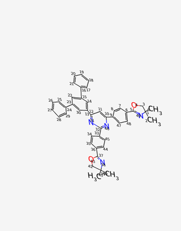 CC1(C)COC(c2ccc(-c3cc(-c4cc(-c5ccccc5)cc(-c5ccccc5)c4)nc(-c4ccc(C5=NC(C)(C)CO5)cc4)n3)cc2)=N1